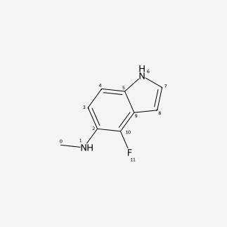 CNc1ccc2[nH]ccc2c1F